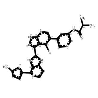 Cc1ccc(-c2nccc3[nH]c(-c4n[nH]c5ncc(-c6cncc(NC(=O)C(C)C)c6)c(F)c45)nc23)s1